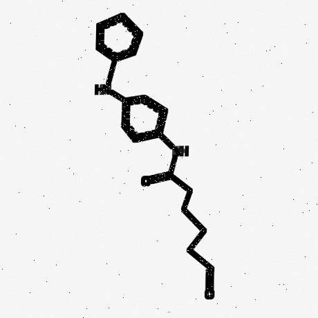 O=CCCCCC(=O)Nc1ccc(Nc2ccccc2)cc1